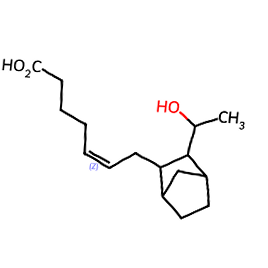 CC(O)C1C2CCC(C2)C1C/C=C\CCCC(=O)O